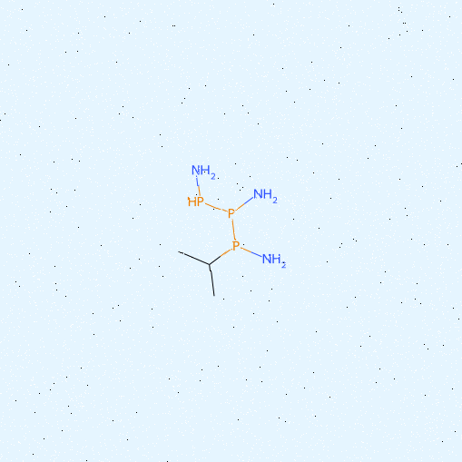 CC(C)P(N)P(N)PN